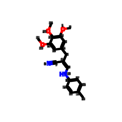 COc1cc(CC(C#N)=CNc2ccc(C)cc2)cc(OC)c1OC